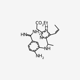 C/C=C\c1[nH]c(CC(=O)OCC)nc1C(C)Nc1cc(C(=N)N)ccc1N